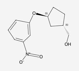 O=[N+]([O-])c1cccc(O[C@H]2CC[C@H](CO)C2)c1